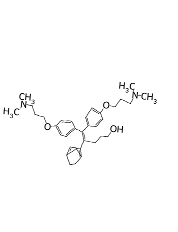 CN(C)CCCOc1ccc(C(=C(CCCO)C2=C3CCC(=C2)C3)c2ccc(OCCCN(C)C)cc2)cc1